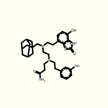 NC(=O)CCN(CCc1cccc(O)c1)CCN(CCc1ccc(O)c2[nH]c(=O)sc12)CC12CC3CC(CC(C3)C1)C2